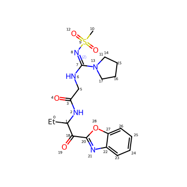 CCC(NC(=O)CN/C(=N/S(C)(=O)=O)N1CCCC1)C(=O)c1nc2ccccc2o1